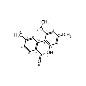 COc1cc(C)cc(O)c1-c1cc(C)ccc1C=O